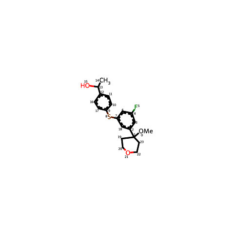 COC1(c2cc(F)cc(Sc3ccc(C(C)O)cc3)c2)CCOCC1